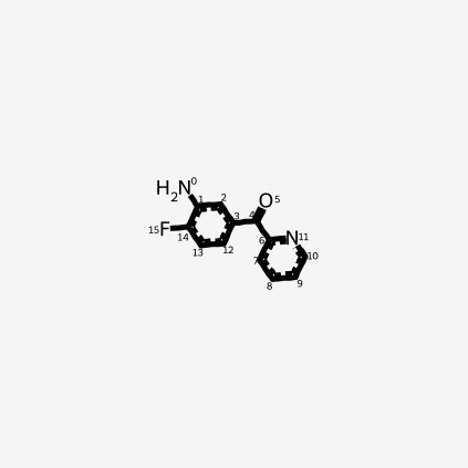 Nc1cc(C(=O)c2ccccn2)ccc1F